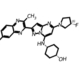 Cc1nc2ccc(F)cc2nc1-c1cc2nc(N3CC[C@H](F)C3)cc(N[C@H]3CC[C@@H](O)CC3)n2n1